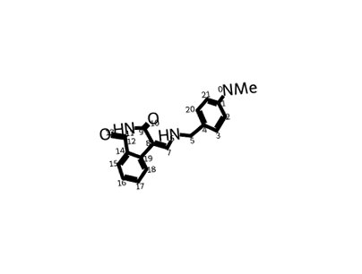 CNc1ccc(CNC=C2C(=O)NC(=O)c3ccccc32)cc1